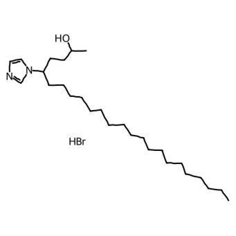 Br.CCCCCCCCCCCCCCCCCCCC(CCC(C)O)n1ccnc1